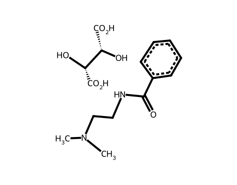 CN(C)CCNC(=O)c1ccccc1.O=C(O)[C@H](O)[C@@H](O)C(=O)O